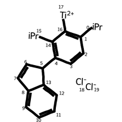 CC(C)c1ccc(C2C=Cc3ccccc32)c(C(C)C)[c]1[Ti+2].[Cl-].[Cl-]